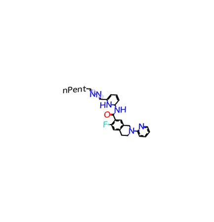 CCCCC/C=N/N=C/C1=CC=CC(NC(=O)c2cc3c(cc2F)CCN(c2ccccn2)C3)N1